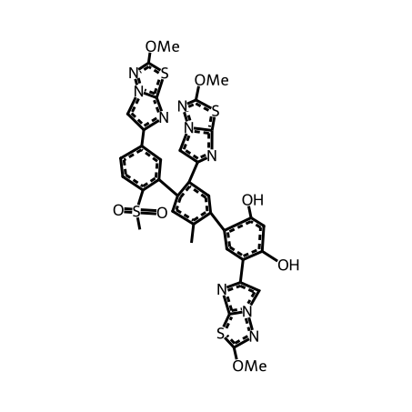 COc1nn2cc(-c3ccc(S(C)(=O)=O)c(-c4cc(C)c(-c5cc(-c6cn7nc(OC)sc7n6)c(O)cc5O)cc4-c4cn5nc(OC)sc5n4)c3)nc2s1